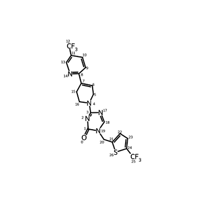 O=c1nc(N2CC=C(c3ccc(C(F)(F)F)cn3)CC2)ncn1Cc1ccc(C(F)(F)F)s1